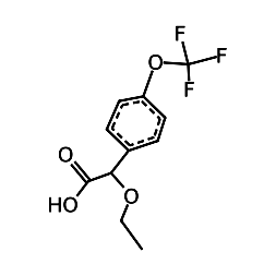 CCOC(C(=O)O)c1ccc(OC(F)(F)F)cc1